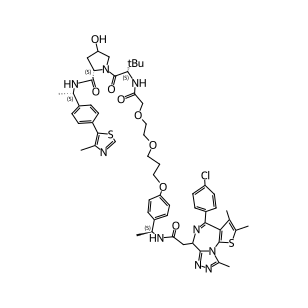 Cc1ncsc1-c1ccc([C@H](C)NC(=O)[C@@H]2CC(O)CN2C(=O)[C@@H](NC(=O)COCCOCCCOc2ccc([C@H](C)NC(=O)CC3N=C(c4ccc(Cl)cc4)c4c(sc(C)c4C)-n4c(C)nnc43)cc2)C(C)(C)C)cc1